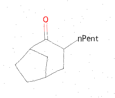 CCCCCC1CC2CCC(C2)C1=O